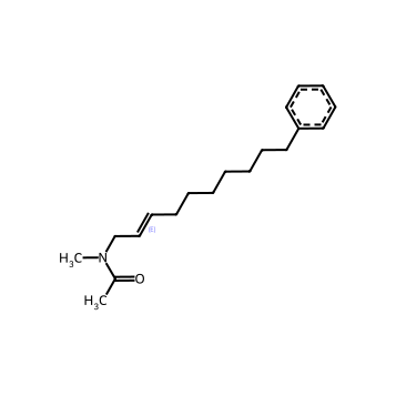 CC(=O)N(C)C/C=C/CCCCCCCc1ccccc1